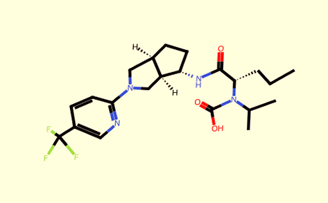 CCC[C@@H](C(=O)N[C@H]1CC[C@@H]2CN(c3ccc(C(F)(F)F)cn3)C[C@@H]21)N(C(=O)O)C(C)C